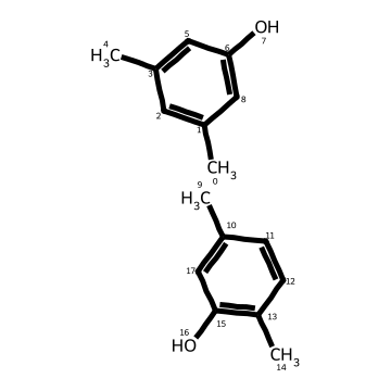 Cc1cc(C)cc(O)c1.Cc1ccc(C)c(O)c1